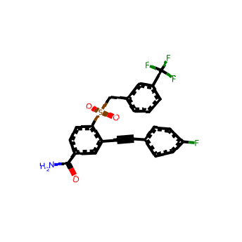 NC(=O)c1ccc(S(=O)(=O)Cc2cccc(C(F)(F)F)c2)c(C#Cc2ccc(F)cc2)c1